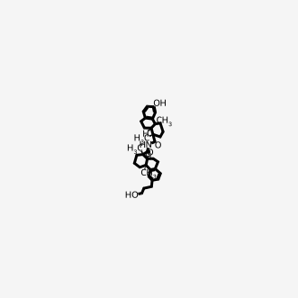 C[C@]1(C(=O)NC(=O)[C@@]2(C)CCC[C@]3(C)c4cc(CCCO)ccc4CC[C@@H]23)CCC[C@]2(C)c3cc(O)ccc3CC[C@@H]12